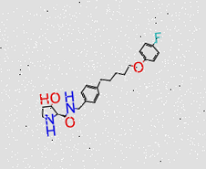 O=C(NCc1ccc(CCCCCOc2ccc(F)cc2)cc1)[C@H]1NCC[C@@H]1O